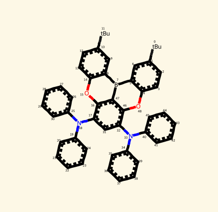 CC(C)(C)c1ccc2c(c1)B1c3cc(C(C)(C)C)ccc3Oc3c(N(c4ccccc4)c4ccccc4)cc(N(c4ccccc4)c4ccccc4)c(c31)O2